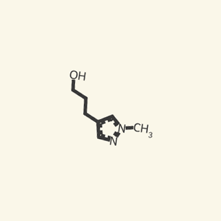 Cn1cc(CCCO)cn1